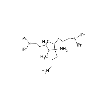 CC(C)N(CCCC(C)C(N)(CCCN)C(C)CCCN(C(C)C)C(C)C)C(C)C